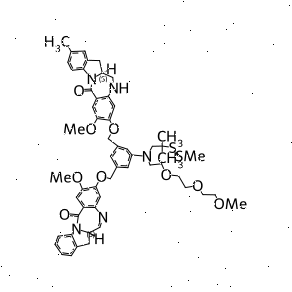 COCCOCCOCCN(CC(C)(C)SSC)c1cc(COc2cc3c(cc2OC)C(=O)N2c4ccccc4C[C@H]2C=N3)cc(COc2cc3c(cc2OC)C(=O)N2c4ccc(C)cc4C[C@H]2CN3)c1